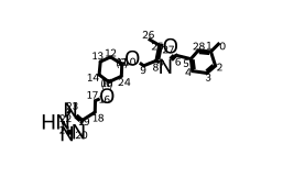 Cc1cccc(-c2nc(CO[C@H]3CCC[C@@H](OCCc4nn[nH]n4)C3)c(C)o2)c1